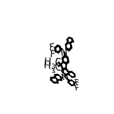 CC1(C)c2cc(N(c3ccc(F)c(F)c3)c3ccc4ccccc4c3)ccc2-c2c1cc(N(c1ccc(F)c(F)c1)c1ccc3ccccc3c1)c1ccccc21